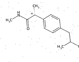 CNC(=O)[C@H](C)c1ccc(CC(C)C)cc1